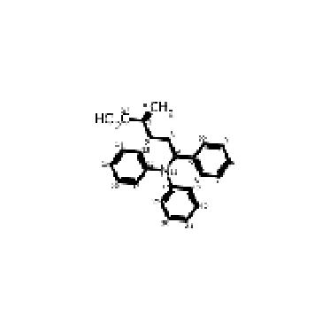 C=C(CCC(c1ccccc1)N(c1ccccc1)c1ccccc1)C(=O)O